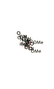 COc1ccc(C(c2ccccc2)(c2ccc(OC)cc2)C(O)[C@@]23CO[C@@H]([C@H](n4cnc5c(NC(=O)c6ccccc6)ncnc54)O2)[C@@H]3OP(OCCC#N)N(C(C)C)C(C)C)cc1